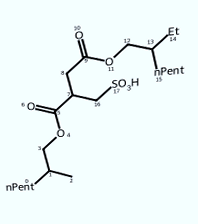 CCCCCC(C)COC(=O)C(CC(=O)OCC(CC)CCCCC)CS(=O)(=O)O